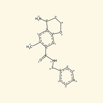 Cc1cc2c(cc1C(=O)NSc1ccncc1)OCCC2N